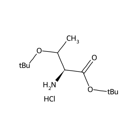 CC(OC(C)(C)C)[C@H](N)C(=O)OC(C)(C)C.Cl